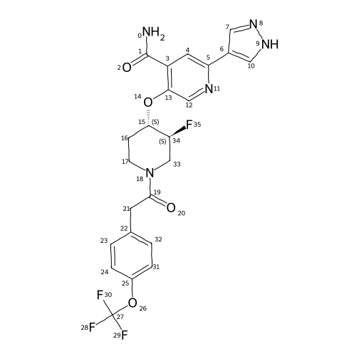 NC(=O)c1cc(-c2cn[nH]c2)ncc1O[C@H]1CCN(C(=O)Cc2ccc(OC(F)(F)F)cc2)C[C@@H]1F